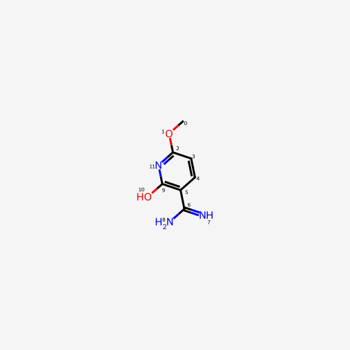 COc1ccc(C(=N)N)c(O)n1